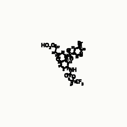 CC(C)(OC(=O)Nc1ccc2c(c1)N(S(=O)(=O)c1cncc(Br)c1)C[C@H](CCC(=O)O)O2)C(F)(F)F